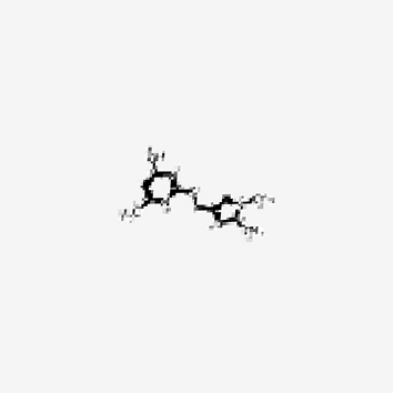 Cc1cc(O)nc(SCc2cn(C)c(C)n2)n1